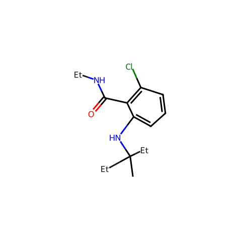 CCNC(=O)c1c(Cl)cccc1NC(C)(CC)CC